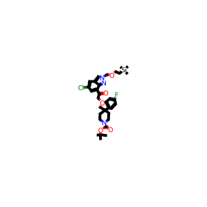 CC(C)(C)OC(=O)N1CCC(COCC(=O)c2cc(Cl)cc3cn(COCC[Si](C)(C)C)nc23)(c2ccc(F)cc2)CC1